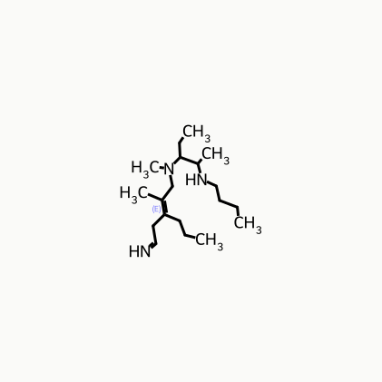 CCCCNC(C)C(CC)N(C)C/C(C)=C(/CC=N)CCC